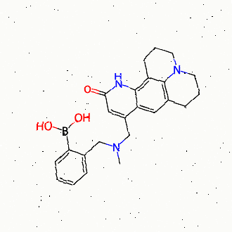 CN(Cc1ccccc1B(O)O)Cc1cc(=O)[nH]c2c3c4c(cc12)CCCN4CCC3